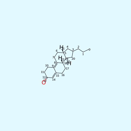 CCCC1C[C@H]2CCC3=C4CCC(=O)C=C4CC[C@H]3[C@@H]2C1